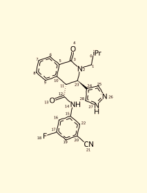 CC(C)CN1C(=O)c2ccccc2[C@@H](C(=O)Nc2cc(F)cc(C#N)c2)[C@@H]1c1cn[nH]c1